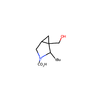 CC(C)(C)C1N(C(=O)O)CC2CC21CO